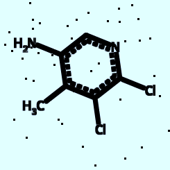 Cc1c(N)cnc(Cl)c1Cl